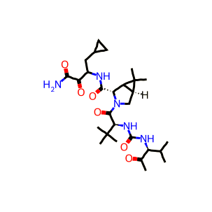 CC(=O)[C@@H](NC(=O)N[C@H](C(=O)N1C[C@H]2C([C@H]1C(=O)NC(CC1CC1)C(=O)C(N)=O)C2(C)C)C(C)(C)C)C(C)C